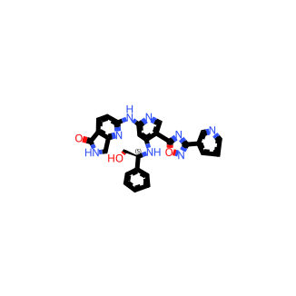 O=C1NCc2nc(Nc3cc(N[C@H](CO)c4ccccc4)c(-c4nc(-c5cccnc5)no4)cn3)ccc21